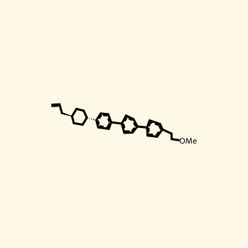 C=CC[C@H]1CC[C@H](c2ccc(-c3ccc(-c4ccc(CCOC)cc4)cc3)cc2)CC1